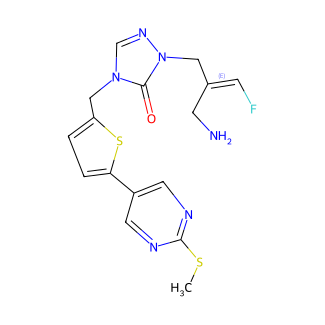 CSc1ncc(-c2ccc(Cn3cnn(C/C(=C/F)CN)c3=O)s2)cn1